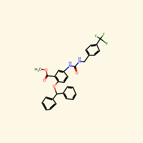 COC(=O)c1cc(NC(=O)NCc2ccc(C(F)(F)F)cc2)ccc1OC(c1ccccc1)c1ccccc1